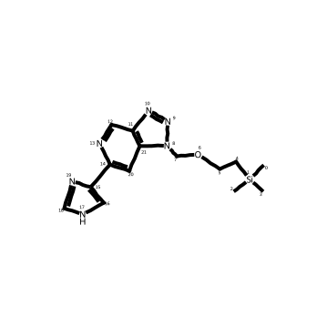 C[Si](C)(C)CCOCn1nnc2cnc(-c3c[nH]cn3)cc21